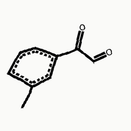 Cc1cccc(C(=O)[C]=O)c1